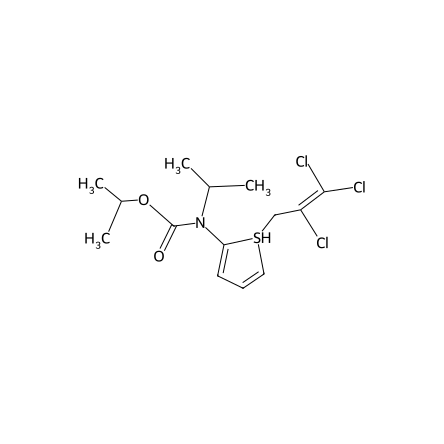 CC(C)OC(=O)N(C1=CC=C[SH]1CC(Cl)=C(Cl)Cl)C(C)C